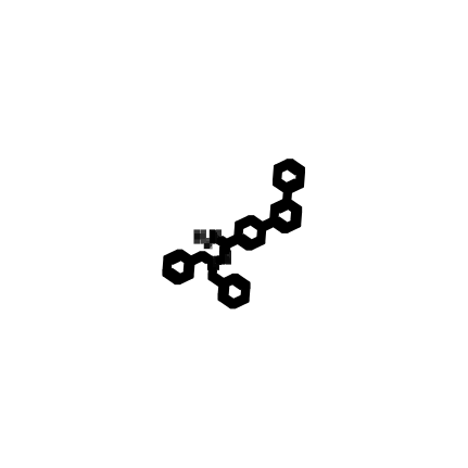 N/C(=N\N(CC1=CCCC=C1)Cc1ccccc1)C1=CCC(c2cccc(C3=CC=CCC3)c2)CC1